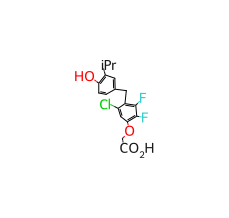 CC(C)c1cc(Cc2c(Cl)cc(OCC(=O)O)c(F)c2F)ccc1O